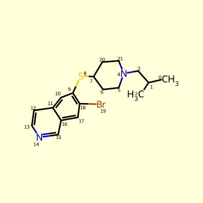 CC(C)CN1CCC(Sc2cc3ccncc3cc2Br)CC1